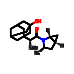 CN[C@H](C(=O)N1[C@H](C#N)C[C@@H]2C[C@@H]21)C12CC3CC(CC(O)(C3)C1)C2